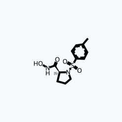 Cc1ccc(S(=O)(=O)N2CCC[C@H]2C(=O)NO)cc1